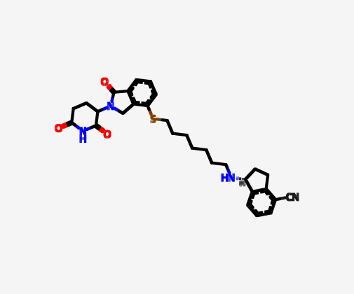 N#Cc1cccc2c1CC[C@H]2NCCCCCCCSc1cccc2c1CN(C1CCC(=O)NC1=O)C2=O